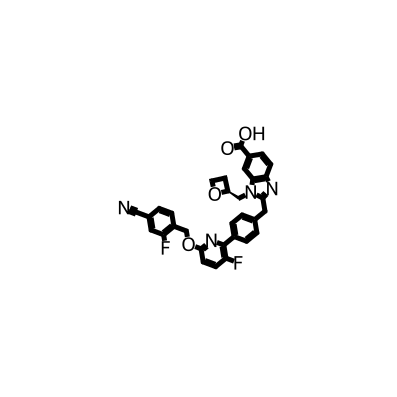 N#Cc1ccc(COc2ccc(F)c(-c3ccc(Cc4nc5ccc(C(=O)O)cc5n4C[C@@H]4CCO4)cc3)n2)c(F)c1